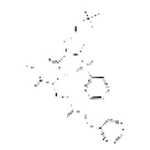 COC(=O)[C@H](CNC(=O)NCc1ccccc1)NC(=O)C1C[C@@H](OC(C)(C)C)CN1S(=O)(=O)c1ccccc1